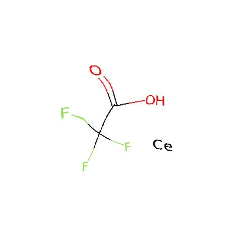 O=C(O)C(F)(F)F.[Ce]